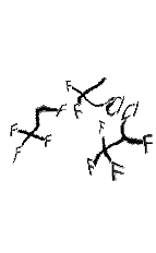 CC(F)(F)Cl.FC(Cl)C(F)(F)F.FCC(F)(F)F